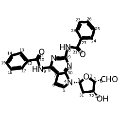 O=C[C@H]1O[C@@H](n2ccc3c(NC(=O)c4ccccc4)nc(NC(=O)c4ccccc4)nc32)C[C@@H]1O